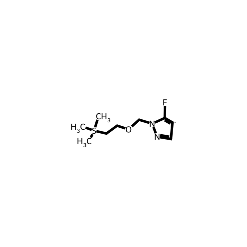 CS(C)(C)CCOCn1nc[c]c1F